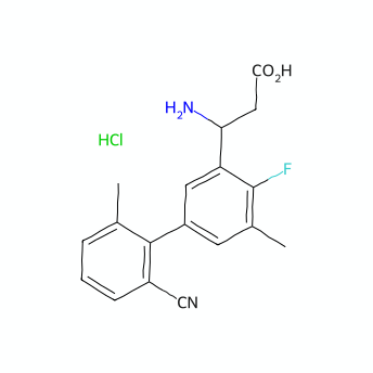 Cc1cc(-c2c(C)cccc2C#N)cc(C(N)CC(=O)O)c1F.Cl